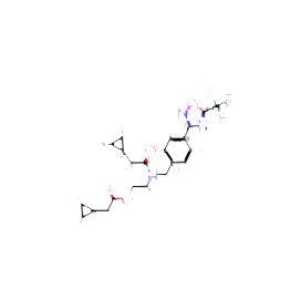 O=C(CC1CC1)OCCN(Cc1ccc(-c2noc(C(F)(F)F)n2)cc1)C(=O)CC1CC1